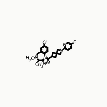 CC1c2nnc(C3CC4(C3)CN(c3ccc(F)cn3)C4)n2-c2ccc(Cl)cc2CN1C